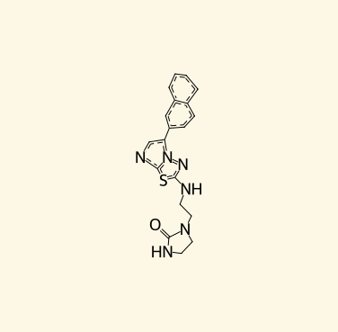 O=C1NCCN1CCNc1nn2c(-c3ccc4ccccc4c3)cnc2s1